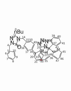 CCCCc1nn(Cc2ccccc2)c(=O)n1Cc1ccc(-c2ccccc2-c2nnnn2C(c2ccccc2)(c2ccccc2)c2ccccc2)cc1